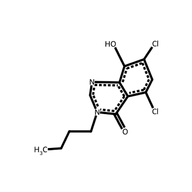 CCCCn1cnc2c(O)c(Cl)cc(Cl)c2c1=O